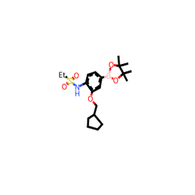 CCS(=O)(=O)Nc1ccc(B2OC(C)(C)C(C)(C)O2)cc1OCC1CCCC1